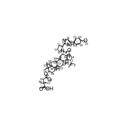 C=C(C)[C@@H]1CC[C@]2(C(=O)N3CCC[C@H]3c3ncc(-c4ccc(OC)cc4)[nH]3)CC[C@]3(C)[C@H](CC[C@@H]4[C@@]5(C)CC[C@H](OC(=O)CC(C)(C)C(=O)O)C(C)(C)[C@@H]5CC[C@]43C)[C@@H]12